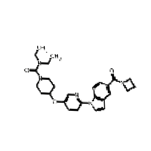 CCN(CC)C(=O)N1CCC(Oc2ccc(-n3ccc4cc(C(=O)N5CCC5)ccc43)nc2)CC1